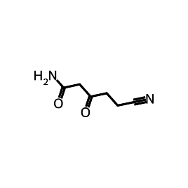 N#CCCC(=O)CC(N)=O